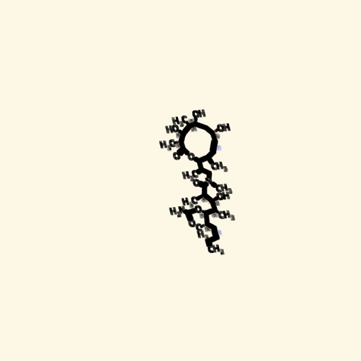 C=C/C=C\[C@H](C)[C@H](OC(N)=O)[C@@H](C)[C@H](O)[C@@H](C)C(=O)N(C)CC(C)C1OC(=O)[C@H](C)[C@@H](O)[C@H](C)[C@@H](O)C[C@H](O)/C=C\C1C